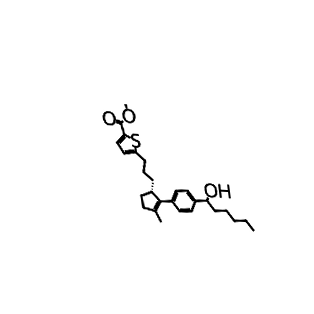 CCCCCC(O)c1ccc(C2=C(C)CC[C@@H]2CCCc2ccc(C(=O)OC)s2)cc1